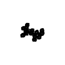 c1ccc(-c2nc(-c3ccc(-n4c5cc6ccccc6cc5c5c(-n6c7ccccc7c7ccc8ccccc8c76)cccc54)c4ccccc34)nc(-c3cc4ccccc4c4ccccc34)n2)cc1